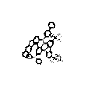 CC(C)(C)c1ccc2c(c1)c1cc(C(C)(C)C)cc3c1n2-c1cc(N(c2ccccc2)c2ccccc2)cc2c1B3N(c1ccc(-c3ccccc3)cc1)c1ccc3oc4cc5ccccc5cc4c3c1-2